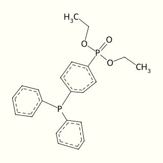 CCOP(=O)(OCC)c1ccc(P(c2ccccc2)c2ccccc2)cc1